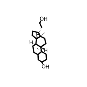 C[C@]12CC[C@H]3[C@@H](CCC4CC(O)CC[C@@]43C)[C@@H]1CC[C@@H]2CCO